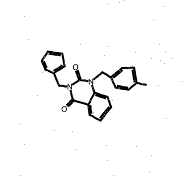 Cc1ccc(Cn2c(=O)n(Cc3ccccc3)c(=O)c3ccccc32)cc1